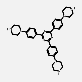 c1cc(N2CCNCC2)ccc1-c1nc(-c2ccc(N3CCNCC3)cc2)nc(-c2ccc(N3CCNCC3)cc2)n1